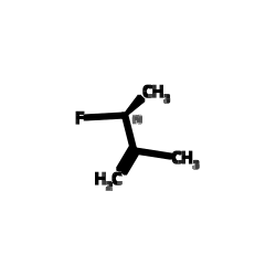 C=C(C)[C@H](C)F